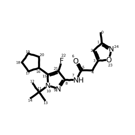 Cc1cc(CC(=O)Nc2nn(C(C)(C)C)c(C3CCCC3)c2F)on1